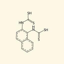 S=C(S)Nc1ccc2ccccc2c1NC(=S)S